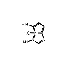 C[N+]12C(N)=CN=C1N=CN2N